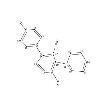 Cc1ccc(-c2ccc(F)c(-c3ccccc3)c2F)cc1